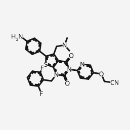 CN(C)Cc1c(-c2ccc(N)cc2)sc2c1c(=O)n(-c1ccc(OCC#N)cn1)c(=O)n2Cc1c(F)cccc1F